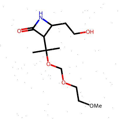 COCCOCOC(C)(C)C1C(=O)NC1CCO